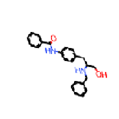 O=C(Nc1ccc(CC(CO)NCc2ccccc2)cc1)c1ccccc1